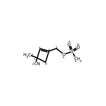 CC1(C#N)C=C(COS(C)(=O)=O)C1